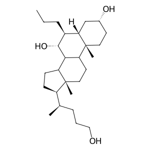 CCC[C@@H]1[C@@H](O)C2C3CC[C@H]([C@H](C)CCCO)[C@@]3(C)CCC2[C@@]2(C)CC[C@@H](O)C[C@@H]12